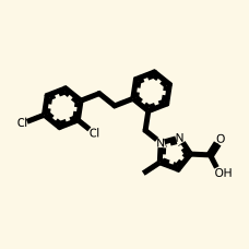 Cc1cc(C(=O)O)nn1Cc1ccccc1CCc1ccc(Cl)cc1Cl